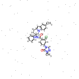 Cc1ccc2c(c1)cc1n2C[C@@](NC(=O)c2ccc(-n3cnn(C)c3=O)cc2Cl)(c2ccccc2)CC1